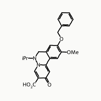 COc1cc2c(cc1OCc1ccccc1)CN(C(C)C)n1cc(C(=O)O)c(=O)cc1-2